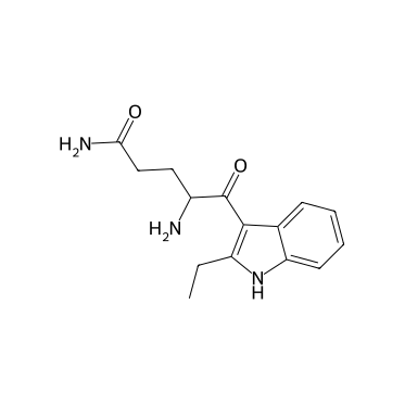 CCc1[nH]c2ccccc2c1C(=O)C(N)CCC(N)=O